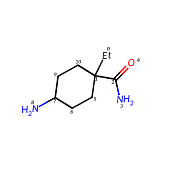 CCC1(C(N)=O)CCC(N)CC1